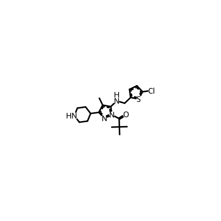 Cc1c(C2CCNCC2)nn(C(=O)C(C)(C)C)c1NCc1ccc(Cl)s1